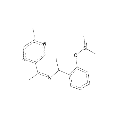 CC(=NC(C)c1ccccc1O[SiH](C)C)c1cnc(C)cn1